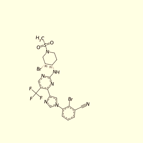 CS(=O)(=O)N1CC[C@H](Nc2ncc(C(F)(F)F)c(-c3cn(-c4cccc(C#N)c4Br)cn3)n2)[C@H](Br)C1